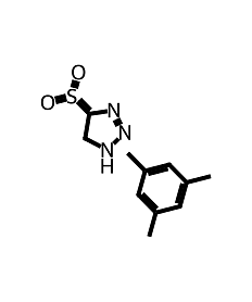 Cc1cc(C)cc(C)c1.O=S(=O)=C1CNN=N1